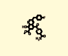 COC(=O)c1cc(C(=O)N2CCC(C(N)=O)CC2)c2cc(Cc3ccc(F)cc3)cnc2c1O